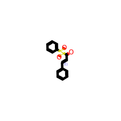 O=C(/C=C/c1ccccc1)S(=O)(=O)c1ccccc1